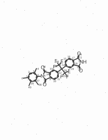 Cc1cc(C)c(N2C(=O)c3ccc(C(c4ccc5c(c4)C(=O)NC5=O)(C(F)(F)F)C(F)(F)F)cc3C2=O)c(C)c1C